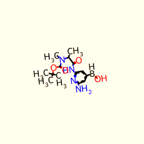 CC(C(=O)Nc1cc(BO)cc(N)n1)N(C)C(=O)OC(C)(C)C